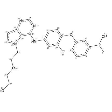 CC(O)c1cccc(Oc2ccc(Nc3ncnc4ccn(CCOCCO)c34)cc2Cl)c1